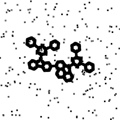 c1ccc(-c2nc(-c3ccccc3)nc(-n3c4ccccc4c4ccc(-c5ccc6c7c5ccc5cccc(c57)n6-c5nc(-c6ccccc6)nc(-c6ccccc6)n5)cc43)n2)cc1